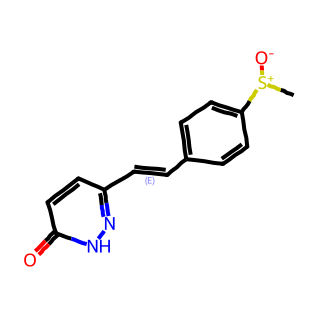 C[S+]([O-])c1ccc(/C=C/c2ccc(=O)[nH]n2)cc1